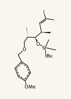 COc1ccc(COC[C@H](C)[C@H](O[Si](C)(C)C(C)(C)C)[C@H](C)/C=C(\C)I)cc1